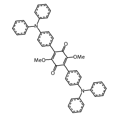 COC1=C(c2ccc(N(c3ccccc3)c3ccccc3)cc2)C(=O)C(OC)=C(c2ccc(N(c3ccccc3)c3ccccc3)cc2)C1=O